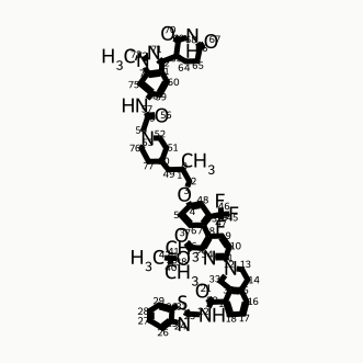 C[C@@H](COc1ccc(-c2ccc(N3CCc4cccc(C(=O)Nc5nc6ccccc6s5)c4C3)nc2C(=O)OC(C)(C)C)c(C(F)(F)F)c1)CC1CCN(CC(=O)Nc2ccc3c(C4CCC(=O)NC4=O)nn(C)c3c2)CC1